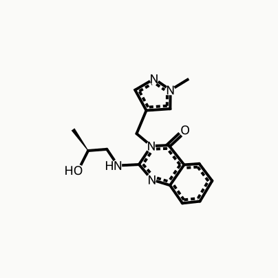 C[C@H](O)CNc1nc2ccccc2c(=O)n1Cc1cnn(C)c1